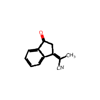 C/C(C#N)=C1\CC(=O)c2ccccc21